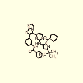 CC(C)(C)c1cc(Nc2nccc(-c3c(-c4cccc(NC(=O)c5ccccc5)c4)nc4sccn34)n2)n(C(=O)c2ccccc2)n1